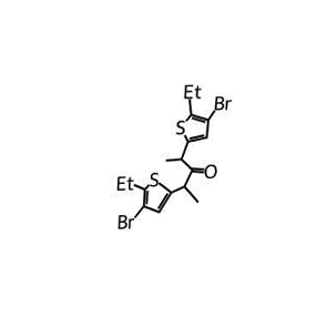 CCc1sc(C(C)C(=O)C(C)c2cc(Br)c(CC)s2)cc1Br